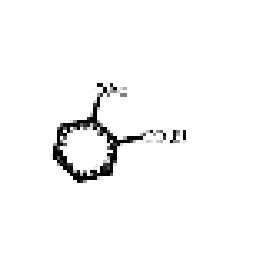 CCOC(=O)c1ccccc1OC(C)=O